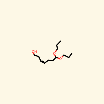 CCCOC(CC/C=C\CCO)OCCC